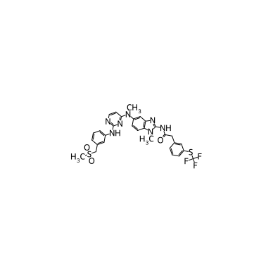 CN(c1ccc2c(c1)nc(NC(=O)Cc1cccc(SC(F)(F)F)c1)n2C)c1ccnc(Nc2cccc(CS(C)(=O)=O)c2)n1